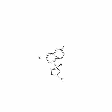 Cc1ccc2c([C@@H]3CC4(C(F)(F)F)CC3C4)nc(Cl)nc2n1